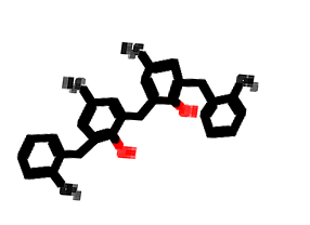 Cc1cc(Cc2ccccc2C)c(O)c(Cc2cc(C)cc(Cc3ccccc3C)c2O)c1